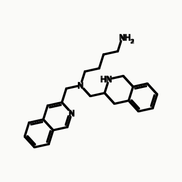 NCCCCN(Cc1cc2ccccc2cn1)CC1Cc2ccccc2CN1